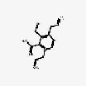 C=CCc1ccc(CC=C)c(C(=C)C)c1CN